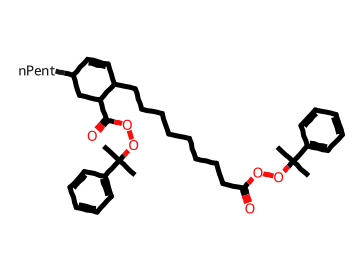 CCCCCC1C=CC(CCCCCCCCC(=O)OOC(C)(C)c2ccccc2)C(C(=O)OOC(C)(C)c2ccccc2)C1